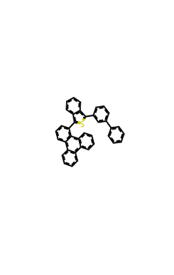 c1ccc(-c2cccc(-c3sc(-c4cccc5c6ccccc6c6ccccc6c45)c4ccccc34)c2)cc1